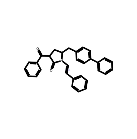 O=C(c1ccccc1)C1CC(Cc2ccc(-c3ccccc3)cc2)N(/C=C/c2ccccc2)C1=O